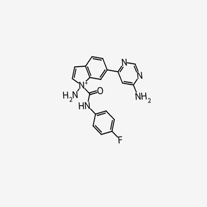 Nc1cc(-c2ccc3c(c2)[N+](N)(C(=O)Nc2ccc(F)cc2)C=C3)ncn1